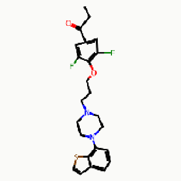 CCC(=O)c1cc(F)c(OCCCN2CCN(c3cccc4ccsc34)CC2)c(F)c1